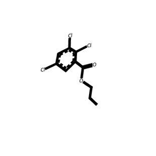 CCCOC(=O)c1cc(Cl)cc(Cl)c1Cl